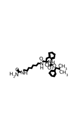 CC(C)[C@H](OC(=O)N[C@](C)(Cc1ccccc1F)C(=O)NCCCCCCCNC(N)=O)c1ccccc1